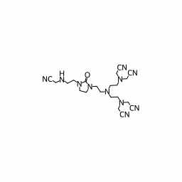 N#CCNCCN1CCN(CCN(CCN(CC#N)CC#N)CCN(CC#N)CC#N)C1=O